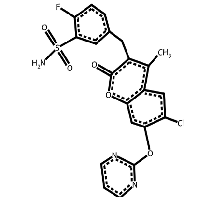 Cc1c(Cc2ccc(F)c(S(N)(=O)=O)c2)c(=O)oc2cc(Oc3ncccn3)c(Cl)cc12